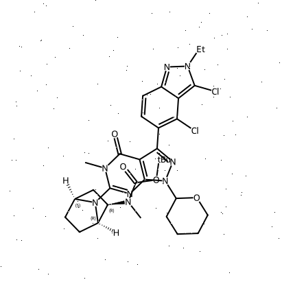 CCn1nc2ccc(-c3nn(C4CCCCO4)c4nc(N5[C@H]6CC[C@@H]5[C@H](N(C)C(=O)OC(C)(C)C)C6)n(C)c(=O)c34)c(Cl)c2c1Cl